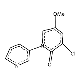 COc1cc(Cl)c(=O)n(-c2cccnc2)c1